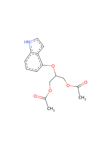 CC(=O)OCC(COC(C)=O)Oc1cccc2[nH]ccc12